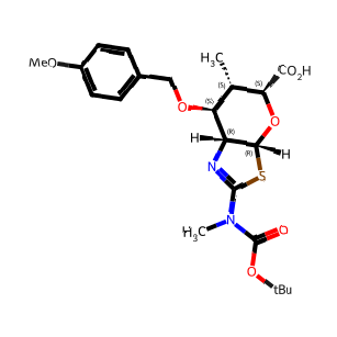 COc1ccc(CO[C@H]2[C@H](C)[C@@H](C(=O)O)O[C@@H]3SC(N(C)C(=O)OC(C)(C)C)=N[C@H]23)cc1